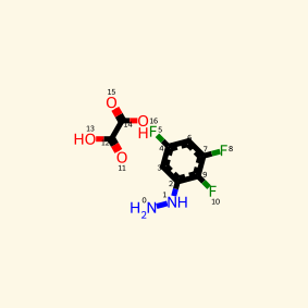 NNc1cc(F)cc(F)c1F.O=C(O)C(=O)O